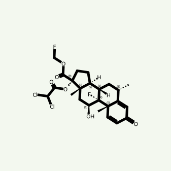 C[C@H]1C[C@H]2[C@@H]3CC[C@](OC(=O)C(Cl)Cl)(C(=O)OCF)[C@@]3(C)C[C@H](O)[C@]2(F)[C@@]2(C)C=CC(=O)C=C12